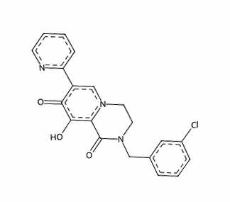 O=C1c2c(O)c(=O)c(-c3ccccn3)cn2CCN1Cc1cccc(Cl)c1